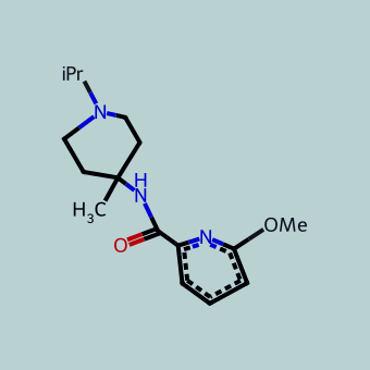 COc1cccc(C(=O)NC2(C)CCN(C(C)C)CC2)n1